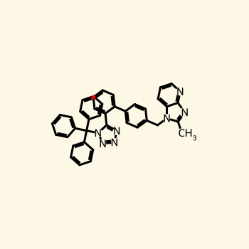 Cc1nc2ncccc2n1Cc1ccc(-c2ccccc2-c2nnnn2C(c2ccccc2)(c2ccccc2)c2ccccc2)cc1